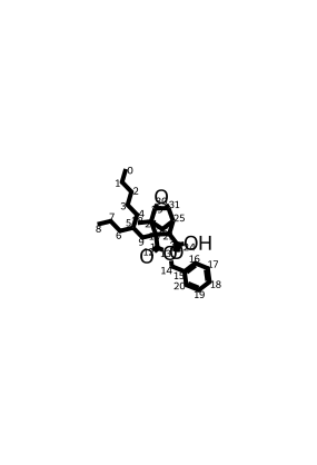 CCCCCC(CCC)CC1(C(=O)OCc2ccccc2)C(C(=O)O)C2CC1(C)C1OC21